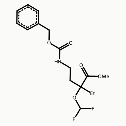 CCC(CCNC(=O)OCc1ccccc1)(OC(F)F)C(=O)OC